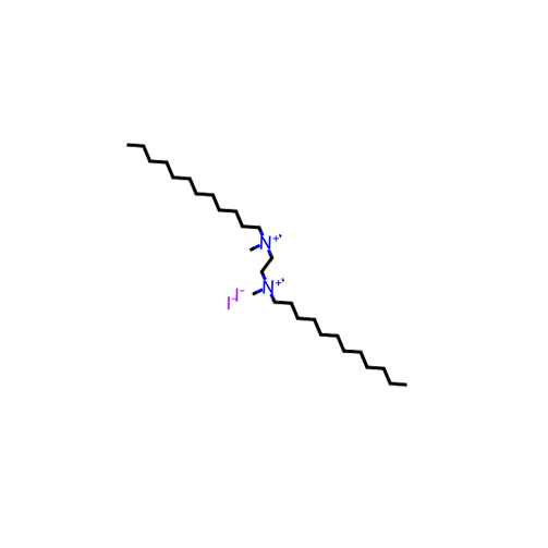 CCCCCCCCCCCC[N+](C)(C)CC[N+](C)(C)CCCCCCCCCCCC.[I-].[I-]